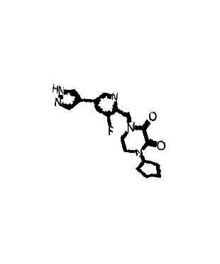 O=C1C(=O)N(C2CCCC2)CCN1Cc1ncc(-c2cn[nH]c2)cc1F